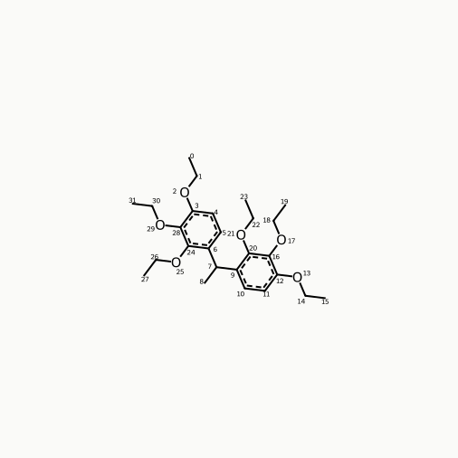 CCOc1ccc(C(C)c2ccc(OCC)c(OCC)c2OCC)c(OCC)c1OCC